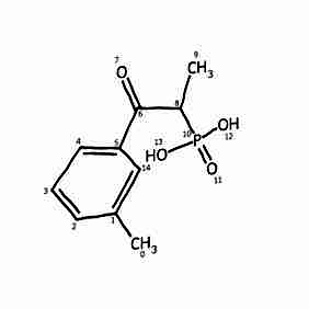 Cc1cccc(C(=O)C(C)P(=O)(O)O)c1